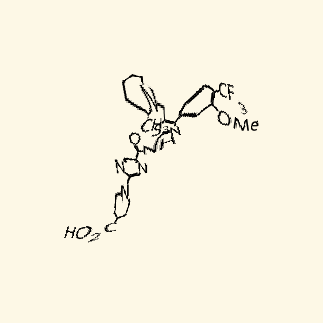 COc1cc(-c2nc(NC(=O)c3cnc(N4CCC(C(=O)O)CC4)cn3)sc2CN2CCCC[C@H]2C)ccc1C(F)(F)F